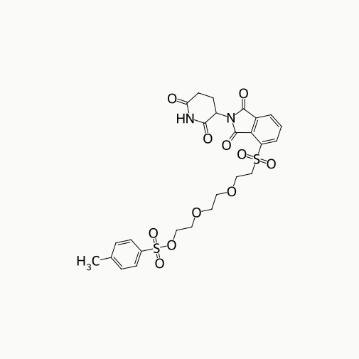 Cc1ccc(S(=O)(=O)OCCOCCOCCS(=O)(=O)c2cccc3c2C(=O)N(C2CCC(=O)NC2=O)C3=O)cc1